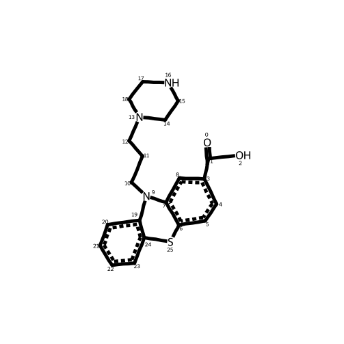 O=C(O)c1ccc2c(c1)N(CCCN1CCNCC1)c1ccccc1S2